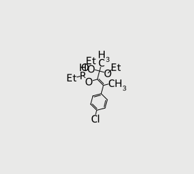 CCOC(C)(OCC)C(O[PH](=O)CC)=C(C)c1ccc(Cl)cc1